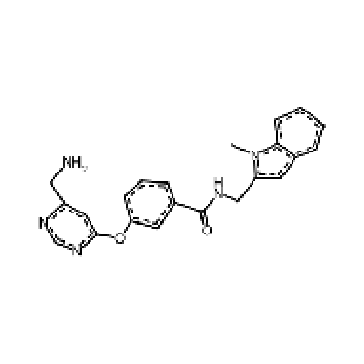 Cn1c(CNC(=O)c2cccc(Oc3cc(CN)ncn3)c2)cc2ccccc21